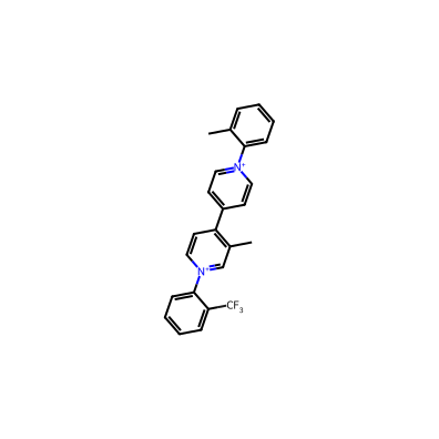 Cc1c[n+](-c2ccccc2C(F)(F)F)ccc1-c1cc[n+](-c2ccccc2C)cc1